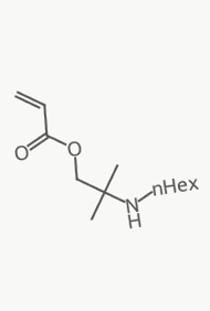 C=CC(=O)OCC(C)(C)NCCCCCC